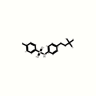 Cc1ccc(S(=O)(=O)Nc2ccc(CCC(C)(C)C)cc2)cc1